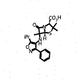 CC(C)c1onc(-c2ccccc2)c1NC1(C)C(=O)N2[C@@H](C(=O)O)C(C)(C)S[C@@H]21